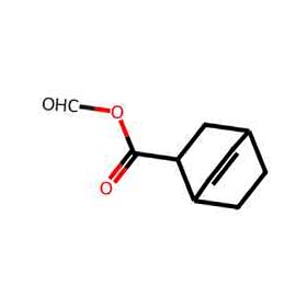 O=COC(=O)C1CC2C=CC1CC2